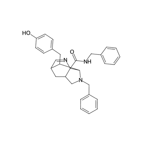 O=C(NCc1ccccc1)C12N=CC3CC1CN(Cc1ccccc1)C2C3Cc1ccc(O)cc1